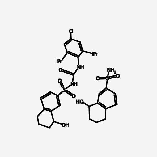 CC(C)c1cc(Cl)cc(C(C)C)c1NC(=O)NS(=O)(=O)c1ccc2c(c1)C(O)CCC2.NS(=O)(=O)c1ccc2c(c1)C(O)CCC2